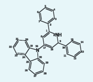 C1=C(c2ccccc2)NC(c2ccccc2)C=C1n1c2ccccc2c2ccccc21